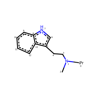 CC(C)N(C)CCc1c[nH]c2ccccc12